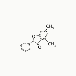 Cc1cc(C)c2c(c1)OC(c1ccccc1)C2=O